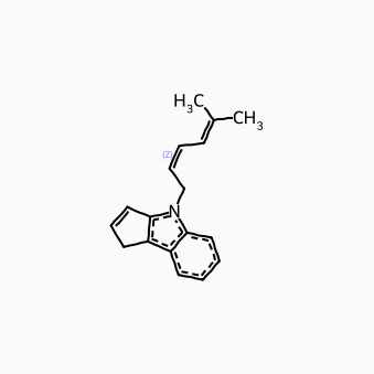 CC(C)=C/C=C\Cn1c2c(c3ccccc31)CC=C2